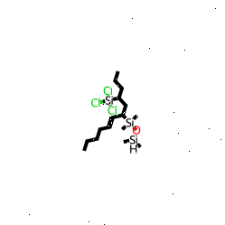 CCCCC=CC(CC(CCC)[Si](Cl)(Cl)Cl)[Si](C)(C)O[SiH](C)C